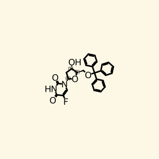 O=c1[nH]c(=O)n([C@H]2C[C@H](O)[C@@H](COC(c3ccccc3)(c3ccccc3)c3ccccc3)O2)cc1F